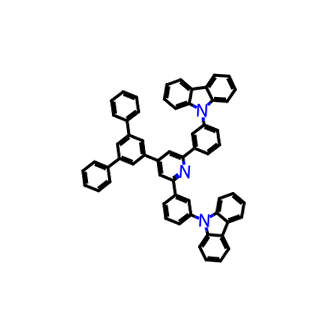 c1ccc(-c2cc(-c3ccccc3)cc(-c3cc(-c4cccc(-n5c6ccccc6c6ccccc65)c4)nc(-c4cccc(-n5c6ccccc6c6ccccc65)c4)c3)c2)cc1